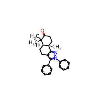 CC1(C)C(=O)CC[C@]2(C)c3nn(-c4ccccc4)c(-c4ccccc4)c3CC[C@@H]12